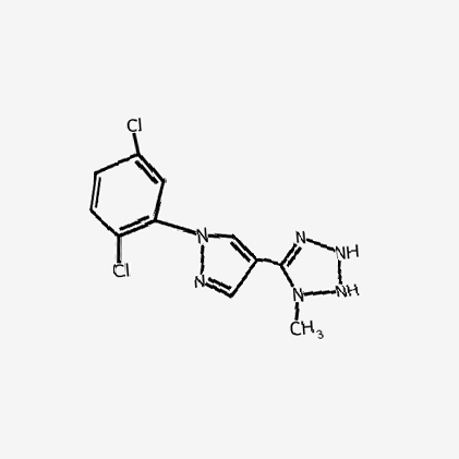 CN1NNN=C1c1cnn(-c2cc(Cl)ccc2Cl)c1